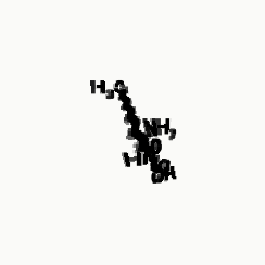 CCCCCCCCCCCC(=O)NCCC(=O)O.N